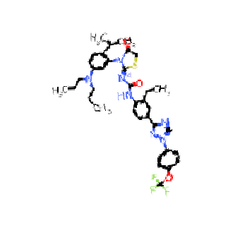 CCCN(CCC)c1ccc(C(C)C)c(N2C(=O)CS/C2=N\C(=O)Nc2ccc(-c3ncn(-c4ccc(OC(F)(F)F)cc4)n3)cc2CC)c1